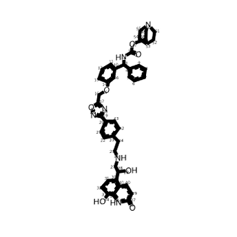 O=C(NC(c1ccccc1)c1cccc(OCc2nc(-c3ccc(CCNCC(O)c4ccc(O)c5[nH]c(=O)ccc45)cc3)no2)c1)OC1CN2CCC1CC2